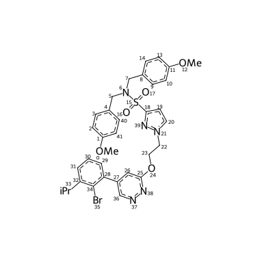 COc1ccc(CN(Cc2ccc(OC)cc2)S(=O)(=O)c2ccn(CCOc3cc(-c4cccc(C(C)C)c4Br)cnn3)n2)cc1